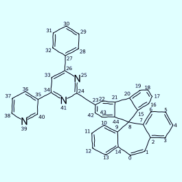 C1=Cc2ccccc2C2(c3ccccc31)c1ccccc1-c1cc(-c3nc(-c4ccccc4)cc(-c4cccnc4)n3)ccc12